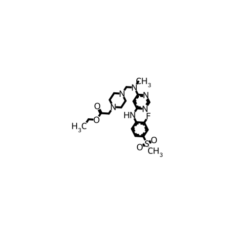 CCOC(=O)CN1CCN(CN(C)c2cc(Nc3ccc(S(C)(=O)=O)cc3F)ncn2)CC1